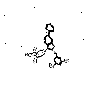 Brc1cc(Br)cc(CO[C@@H]2Cc3cc(-c4ccccc4)ccc3[C@H]2N2CCNCC2)c1.Cl.Cl